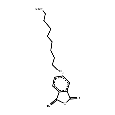 CCCCCCCCCCCCCCCCCCN.N=C1OC(=O)c2ccccc21